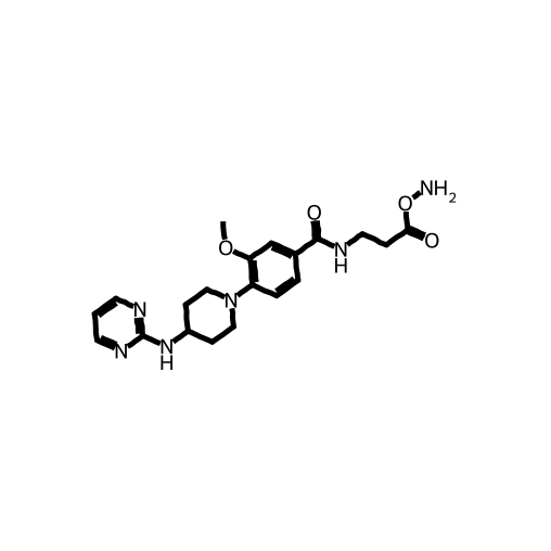 COc1cc(C(=O)NCCC(=O)ON)ccc1N1CCC(Nc2ncccn2)CC1